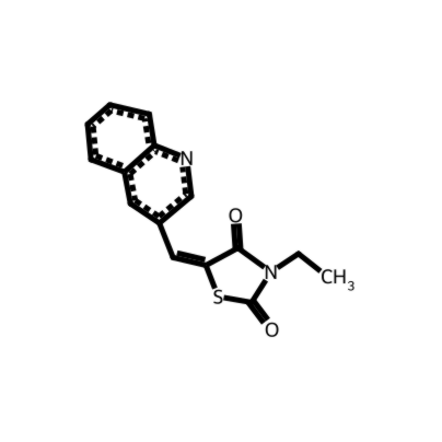 CCN1C(=O)S/C(=C/c2cnc3ccccc3c2)C1=O